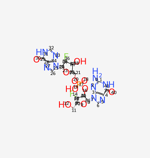 Nc1nc2c(ncn2[C@@H]2O[C@H](CO)[C@@H](F)[C@H]2OP(=O)(O)OC[C@H]2O[C@H](n3cnc4c(=O)[nH]cnc43)[C@@H](F)[C@@H]2O)c(=O)[nH]1